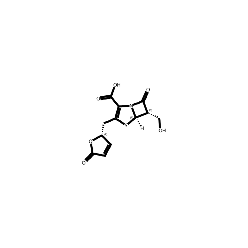 O=C1C=C[C@@H](CC2=C(C(=O)O)N3C(=O)[C@H](CO)[C@H]3S2)O1